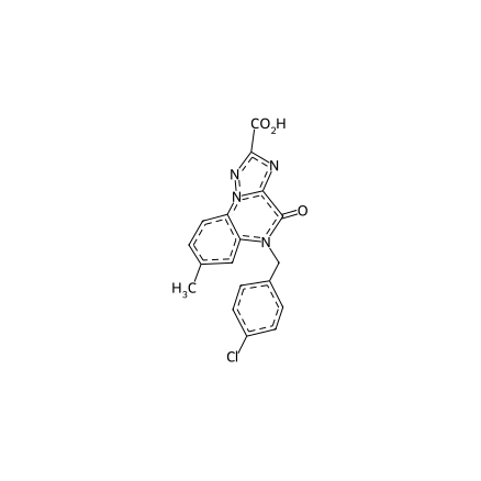 Cc1ccc2c(c1)n(Cc1ccc(Cl)cc1)c(=O)c1nc(C(=O)O)nn12